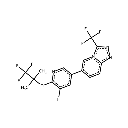 CC(C)(Oc1ncc(-c2ccc3nnc(C(F)(F)F)n3c2)cc1F)C(F)(F)F